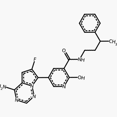 CC(CCNC(=O)c1cc(-c2c(F)cc3c(N)ncnn23)cnc1O)c1ccccc1